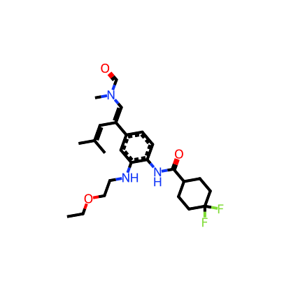 CCOCCNc1cc(/C(C=C(C)C)=C/N(C)C=O)ccc1NC(=O)C1CCC(F)(F)CC1